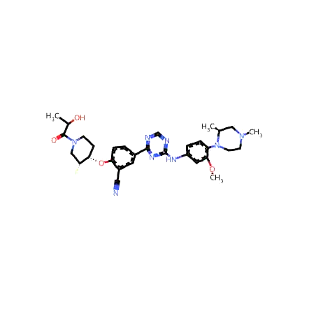 COc1cc(Nc2ncnc(-c3ccc(O[C@H]4CCN(C(=O)C(C)O)C[C@H]4F)c(C#N)c3)n2)ccc1N1CCN(C)C[C@@H]1C